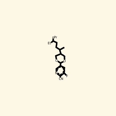 CCCC(CC)CCC(C)C1COC(c2cnc(C#N)c(F)c2)OC1